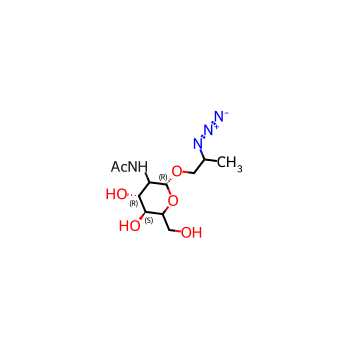 CC(=O)NC1[C@H](OCC(C)N=[N+]=[N-])OC(CO)[C@@H](O)[C@@H]1O